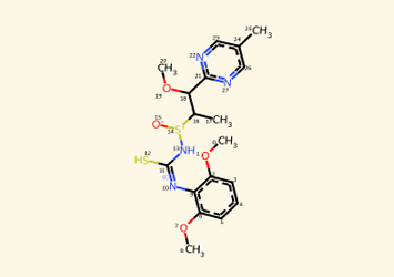 COc1cccc(OC)c1/N=C(/S)N[S+]([O-])C(C)C(OC)c1ncc(C)cn1